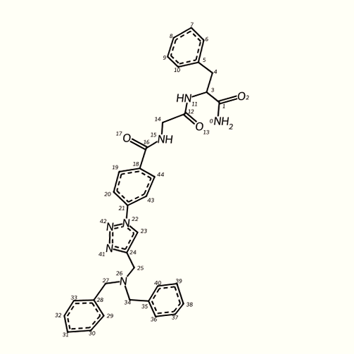 NC(=O)C(Cc1ccccc1)NC(=O)CNC(=O)c1ccc(-n2cc(CN(Cc3ccccc3)Cc3ccccc3)nn2)cc1